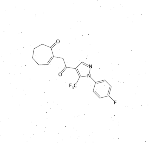 O=C1CCCCC=C1CC(=O)c1cnn(-c2ccc(F)cc2)c1C(F)(F)F